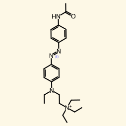 CCN(CC[N+](CC)(CC)CC)c1ccc(/N=N/c2ccc(NC(C)=O)cc2)cc1